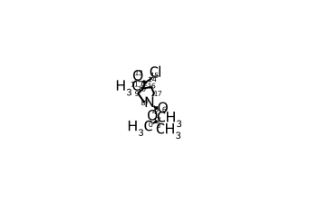 CC(C)(C)OC(=O)N1CCC(C)(C(=O)CCl)CC1